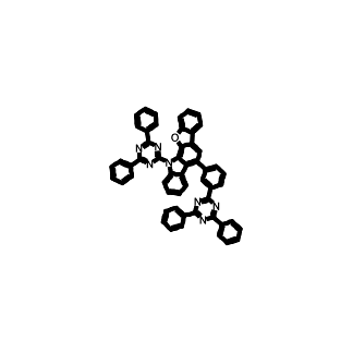 c1ccc(-c2nc(-c3ccccc3)nc(-c3cccc(-c4cc5c6ccccc6oc5c5c4c4ccccc4n5-c4nc(-c5ccccc5)nc(-c5ccccc5)n4)c3)n2)cc1